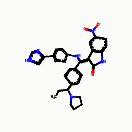 CCC(c1ccc(C(Nc2ccc(-c3c[nH]cn3)cc2)=C2C(=O)Nc3ccc([N+](=O)[O-])cc32)cc1)N1CCCC1